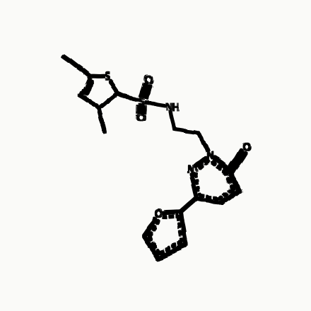 CC1=CC(C)C(S(=O)(=O)NCCn2nc(-c3ccco3)ccc2=O)S1